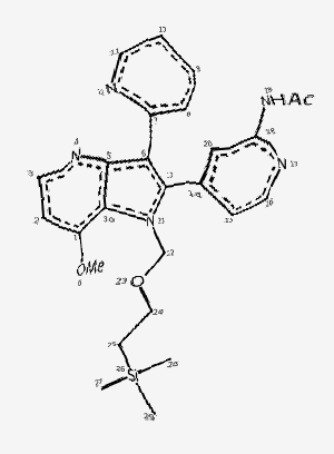 COc1ccnc2c(-c3ccccn3)c(-c3ccnc(NC(C)=O)c3)n(COCC[Si](C)(C)C)c12